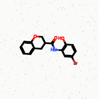 O=C(Nc1cc(Br)ccc1O)C1COc2ccccc2C1